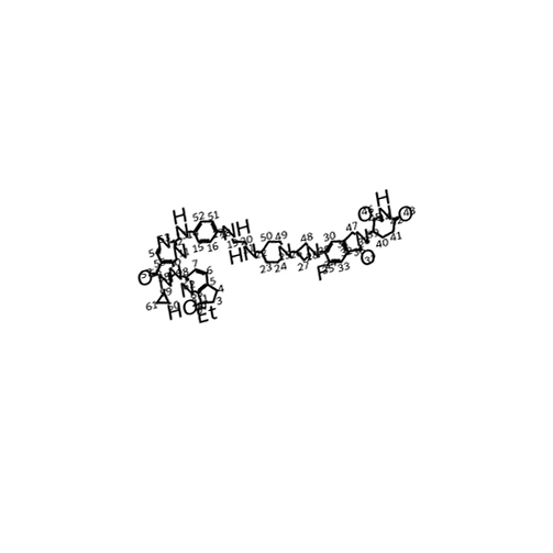 CC[C@@]1(O)CCc2ccc(-n3c4nc(Nc5ccc(NCCNC6CCN(C7CN(c8cc9c(cc8F)C(=O)N(C8CCC(=O)NC8=O)C9)C7)CC6)cc5)ncc4c(=O)n3C3CC3)nc21